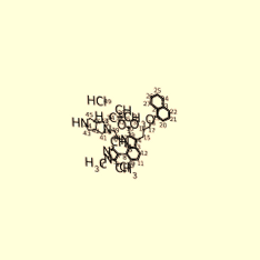 Cc1nn(C)c(C)c1-c1c(Cl)ccc2c(CCCOc3cccc4ccccc34)c(C(=O)OC(C)(C)C)n(CCN3CC4CNCC4C3)c12.Cl